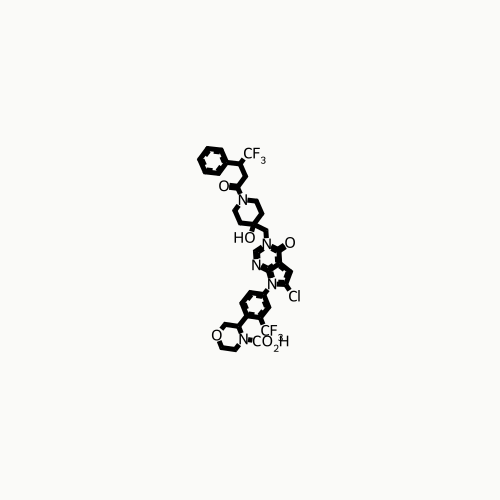 O=C(CC(c1ccccc1)C(F)(F)F)N1CCC(O)(Cn2cnc3c(cc(Cl)n3-c3ccc(C4COCCN4C(=O)O)c(C(F)(F)F)c3)c2=O)CC1